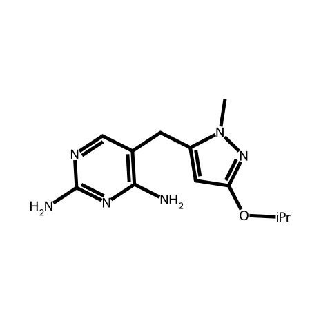 CC(C)Oc1cc(Cc2cnc(N)nc2N)n(C)n1